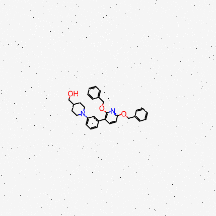 OCC1CCN(c2cccc(-c3ccc(OCc4ccccc4)nc3OCc3ccccc3)c2)CC1